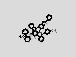 Cc1ccc(N2B3c4cc5oc(-c6ccccc6)cc5cc4-n4c5ccccc5c5c(N6c7ccccc7C7(C)CCCCC67C)cc(c3c54)-c3ccccc32)cc1